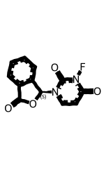 O=C1O[C@H](n2ccc(=O)n(F)c2=O)c2ccccc21